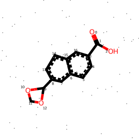 O=C(O)c1ccc2cc(C3OCO3)ccc2c1